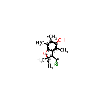 Cc1c(C)c2c(c(C)c1O)C(CBr)C(C)(C)O2